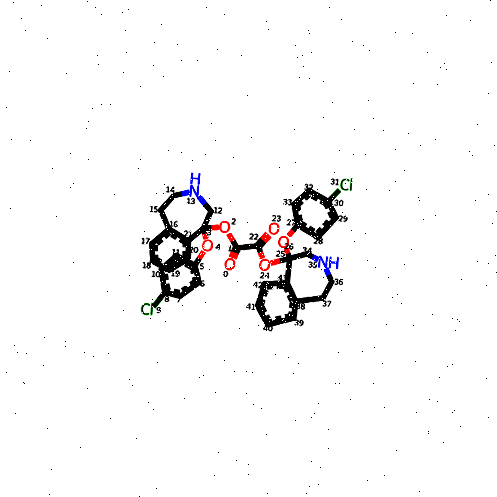 O=C(OC1(Oc2ccc(Cl)cc2)CNCCc2ccccc21)C(=O)OC1(Oc2ccc(Cl)cc2)CNCCc2ccccc21